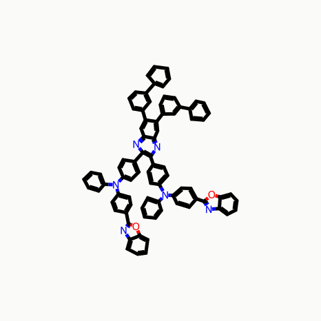 c1ccc(-c2cccc(-c3cc4nc(-c5ccc(N(c6ccccc6)c6ccc(-c7nc8ccccc8o7)cc6)cc5)c(-c5ccc(N(c6ccccc6)c6ccc(-c7nc8ccccc8o7)cc6)cc5)nc4cc3-c3cccc(-c4ccccc4)c3)c2)cc1